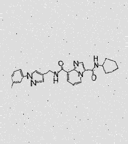 Cc1cccc(-n2cc(CNC(=O)c3cccn4c(C(=O)NC5CCCCC5)cnc34)cn2)c1